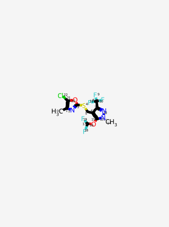 Cc1nc(SCc2c(C(F)(F)F)nn(C)c2OC(F)F)oc1Cl